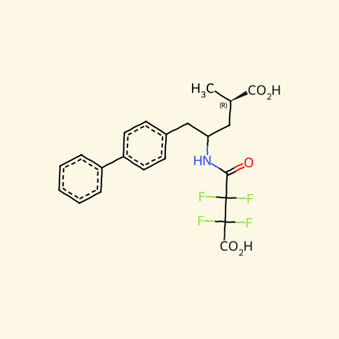 C[C@H](CC(Cc1ccc(-c2ccccc2)cc1)NC(=O)C(F)(F)C(F)(F)C(=O)O)C(=O)O